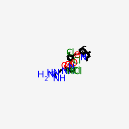 Cc1cc(C)c2cccc(OCc3c(Cl)ccc(S(=O)(=O)N4CCC[C@H]4C(=O)NCCNC(=N)N)c3Cl)c2n1.Cl.Cl